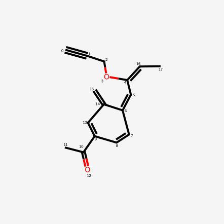 C#CCOC(/C=c1/ccc(C(C)=O)cc1=C)=C/C